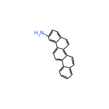 Nc1ccc2ccc3c(ccc4c5ccccc5ccc43)c2c1